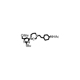 COCc1cc(N2CCCN(CCC3CCC(NC(C)=O)CC3)CC2)nc(C(C)(C)C)n1